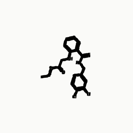 CCOC(=O)CNc1ccccc1C(=S)NCc1ccc(Cl)c(Cl)c1